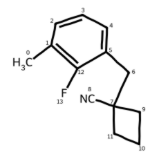 Cc1cccc(CC2(C#N)CCC2)c1F